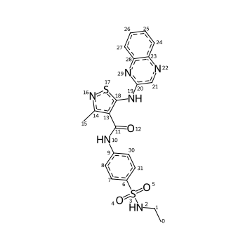 CCNS(=O)(=O)c1ccc(NC(=O)c2c(C)nsc2Nc2cnc3ccccc3n2)cc1